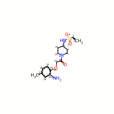 C=CS(=O)(=O)NC1CCN(C(=O)COc2ccc(C)cc2N)CC1